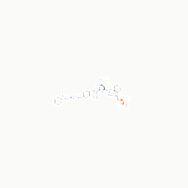 Nc1cc(N2CCN(CCP(=O)(O)O)C3(CCCCC3)C2)nc(NCC2CCC(CNCCCNC3CCCCC3)CC2)n1